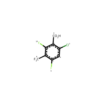 O=C(O)c1c(Cl)cc(F)c(C(F)(F)F)c1F